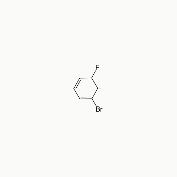 FC1[CH]C(Br)=CC=C1